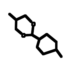 CC1CCC(C2OCC(C)CO2)CC1